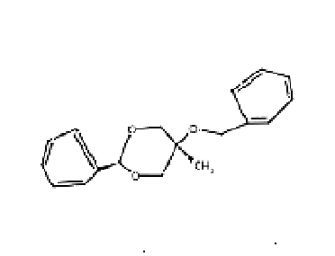 C[C@]1(OCc2ccccc2)CO[C@H](c2ccccc2)OC1